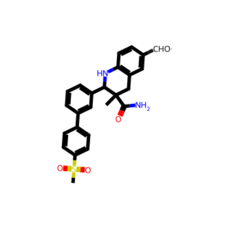 CC1(C(N)=O)Cc2cc([C]=O)ccc2NC1c1cccc(-c2ccc(S(C)(=O)=O)cc2)c1